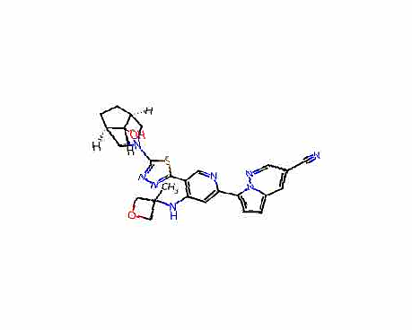 CC1(Nc2cc(-c3ccc4cc(C#N)cnn34)ncc2-c2nnc(N3C[C@H]4CC[C@@H](C3)[C@@H]4O)s2)COC1